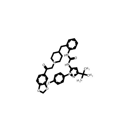 Cc1ccc(-n2nc(C(C)(C)C)cc2NC(=O)Nc2ccccc2CC2CCN(CC(=O)c3ccc4c(c3)OCO4)CC2)cc1